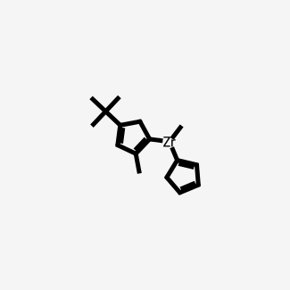 CC1=[C]([Zr]([CH3])[C]2=CC=CC2)CC(C(C)(C)C)=C1